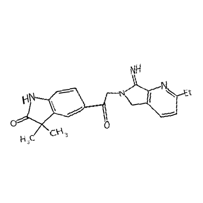 CCc1ccc2c(n1)C(=N)N(CC(=O)c1ccc3c(c1)C(C)(C)C(=O)N3)C2